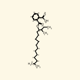 CCC(C)C(CCCCCCCCCCC(C)C)OC(=O)c1ccccc1C(=O)O